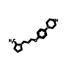 CC1CCCN1CCCOc1ccc(N2CCNCC2)cc1